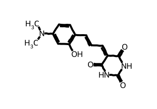 CN(C)c1ccc(/C=C/C=C2C(=O)NC(=O)NC2=O)c(O)c1